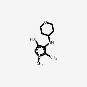 Cc1nn(C)c(C)c1NC1CCOCC1